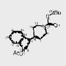 CC(=O)On1cc(C2=CCN(C(=O)OC(C)(C)C)CC2)c2ccccc21